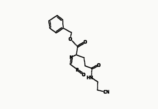 N#CCCNC(=O)CCC(/N=C\B=O)C(=O)OCc1ccccc1